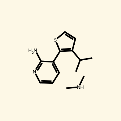 CC(C)c1ccsc1-c1cccnc1N.CNC